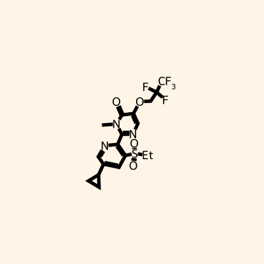 CCS(=O)(=O)c1cc(C2CC2)cnc1-c1ncc(OCC(F)(F)C(F)(F)F)c(=O)n1C